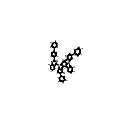 c1ccc(-c2ccc(-c3nc(-n4c5ccc(-c6ccccc6)cc5c5c6c7ccccc7n7c8cc(-c9ccccc9)ccc8c(cc54)c67)c4ccccc4n3)cc2)cc1